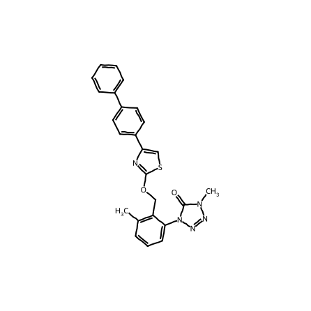 Cc1cccc(-n2nnn(C)c2=O)c1COc1nc(-c2ccc(-c3ccccc3)cc2)cs1